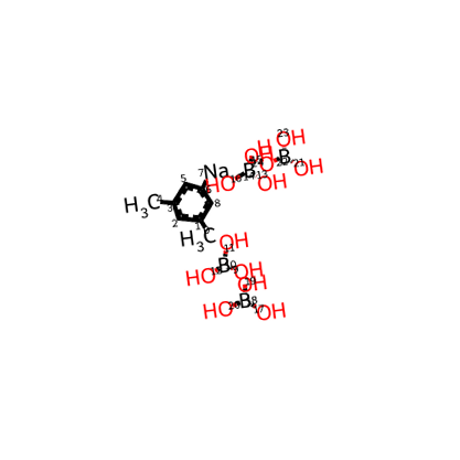 Cc1cc(C)c[c]([Na])c1.OB(O)O.OB(O)O.OB(O)O.OB(O)O